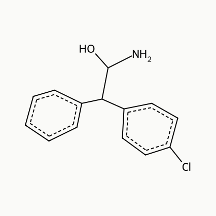 NC(O)C(c1ccccc1)c1ccc(Cl)cc1